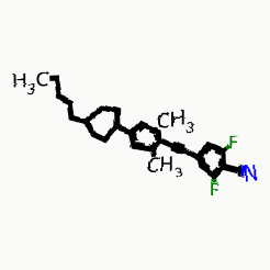 CCCCCC1CCC(c2cc(C)c(C#Cc3cc(F)c(C#N)c(F)c3)c(C)c2)CC1